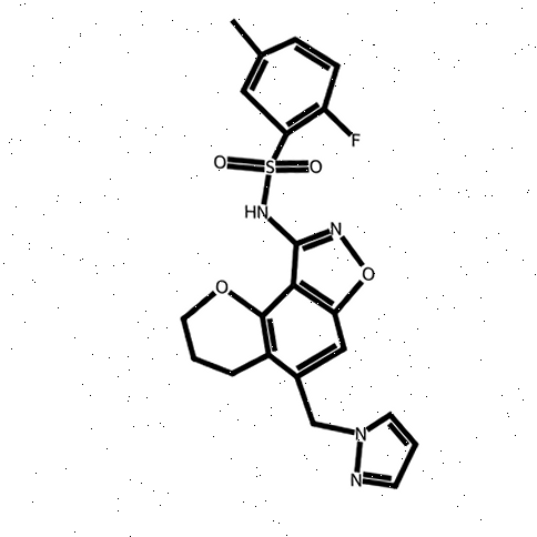 Cc1ccc(F)c(S(=O)(=O)Nc2noc3cc(Cn4cccn4)c4c(c23)OCCC4)c1